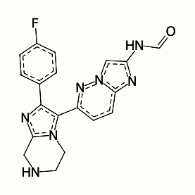 O=CNc1cn2nc(-c3c(-c4ccc(F)cc4)nc4n3CCNC4)ccc2n1